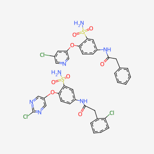 NS(=O)(=O)c1cc(NC(=O)Cc2ccccc2)ccc1Oc1cncc(Cl)c1.NS(=O)(=O)c1cc(NC(=O)Cc2ccccc2Cl)ccc1Oc1cnc(Cl)nc1